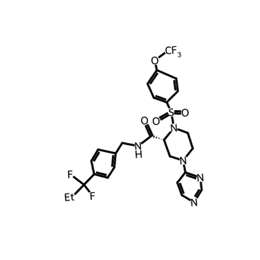 CCC(F)(F)c1ccc(CNC(=O)[C@H]2CN(c3ccncn3)CCN2S(=O)(=O)c2ccc(OC(F)(F)F)cc2)cc1